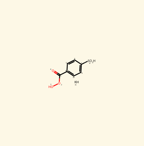 O=C(OO)c1ccc(S(=O)(=O)O)cc1.[KH]